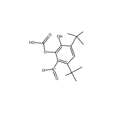 CC(C)(C)c1cc(C(C)(C)C)c([N+](=O)[O-])c(OC(=O)O)c1O